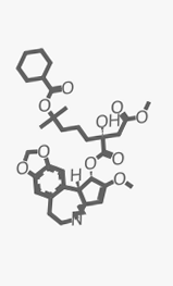 COC(=O)C[C@](O)(CCCC(C)(C)OC(=O)C1CCCCC1)C(=O)O[C@@H]1C(OC)=C[C@]23CCCN2CCc2cc4c(cc2[C@H]13)OCO4